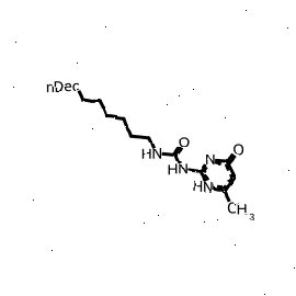 CCCCCCCCCCCCCCCCNC(=O)Nc1nc(=O)cc(C)[nH]1